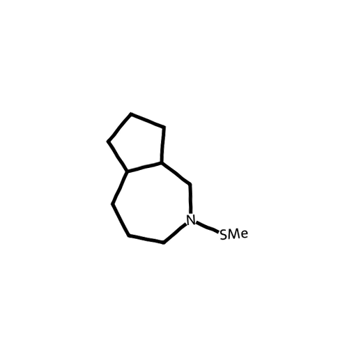 CSN1CCCC2CCCC2C1